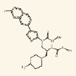 CC(C)(C)OC(=O)N[C@@H](CN1CCC(C(F)(F)F)CC1)CN(C(=O)OC(C)(C)C)c1ncc(-c2ccc3cnc(F)cc3c2)s1